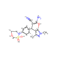 Cc1nn(C)c2c1C(c1ccc(N3CCOCS3(=O)=O)cc1)C(C#N)=C(N)O2